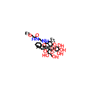 CCOCCC(=O)NCCNC(=O)C1CC(CC)C(OC2O[C@@H](C)C(O)C(O)[C@@H]2O)[C@H](O[C@@H]2OC(CO)[C@H](O)C(O[C@@H](CC3CCCCC3)C(=O)O)C2NC(C)=O)C1